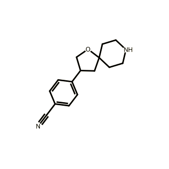 N#Cc1ccc(C2COC3(CCNCC3)C2)cc1